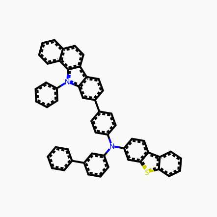 c1ccc(-c2cccc(N(c3ccc(-c4ccc5c6ccc7ccccc7c6n(-c6ccccc6)c5c4)cc3)c3ccc4c(c3)sc3ccccc34)c2)cc1